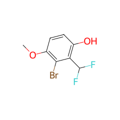 COc1ccc(O)c(C(F)F)c1Br